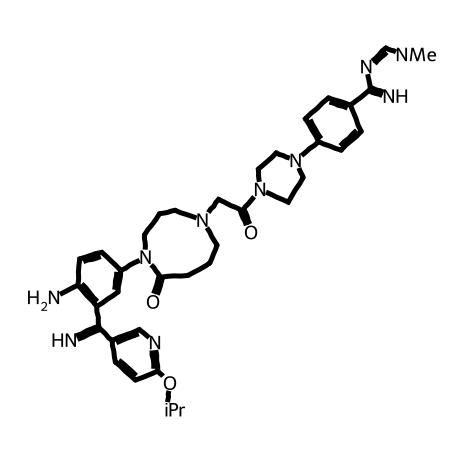 CN/C=N\C(=N)c1ccc(N2CCN(C(=O)CN3CCCC(=O)N(c4ccc(N)c(C(=N)c5ccc(OC(C)C)nc5)c4)CCC3)CC2)cc1